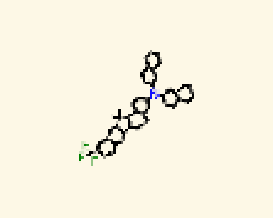 CC1(C)c2cc3cc(C(F)(F)F)ccc3cc2-c2ccc3cc(N(c4ccc5ccccc5c4)c4ccc5ccccc5c4)ccc3c21